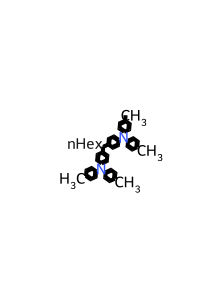 CCCCCCC(c1ccc(N(c2ccc(C)cc2)c2ccc(C)cc2)cc1)c1ccc(N(c2ccc(C)cc2)c2ccc(C)cc2)cc1